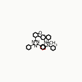 CC1(c2ccccc2)N(c2ccccc2)c2ccccc2N1c1ccc2oc3cccc(-c4nc(-c5ccccc5)nc(-c5ccccc5)n4)c3c2c1